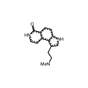 CNCCc1c[nH]c2ccc3c(=O)[nH]ccc3c12